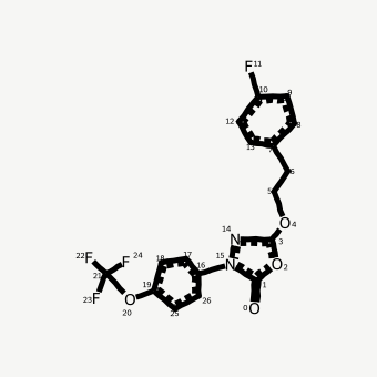 O=c1oc(OCCc2ccc(F)cc2)nn1-c1ccc(OC(F)(F)F)cc1